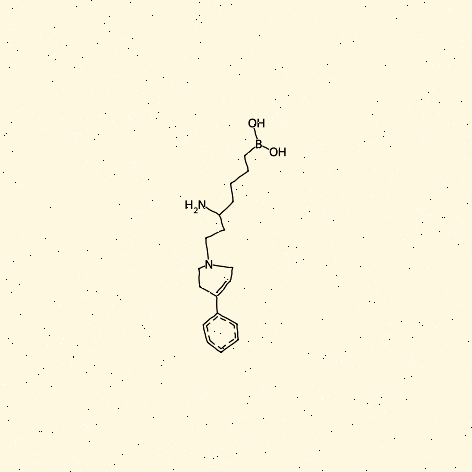 NC(CCCCB(O)O)CCN1CC=C(c2ccccc2)CC1